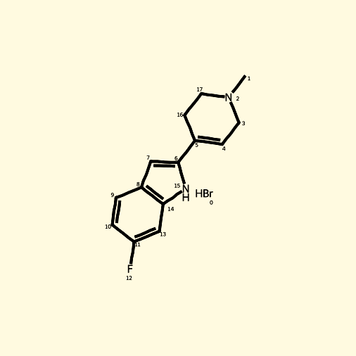 Br.CN1CC=C(c2cc3ccc(F)cc3[nH]2)CC1